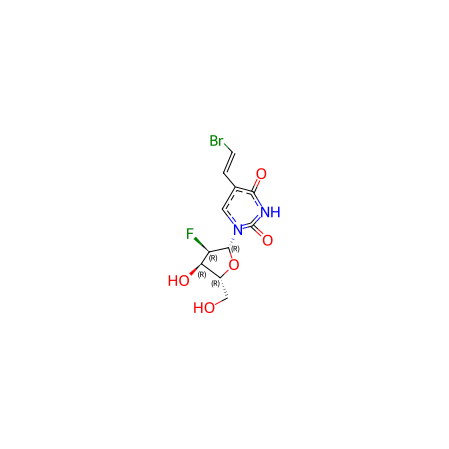 O=c1[nH]c(=O)n([C@@H]2O[C@H](CO)[C@@H](O)[C@H]2F)cc1C=CBr